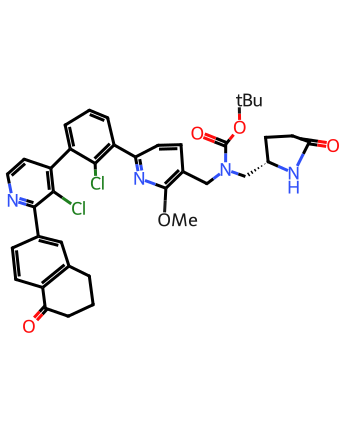 COc1nc(-c2cccc(-c3ccnc(-c4ccc5c(c4)CCCC5=O)c3Cl)c2Cl)ccc1CN(C[C@@H]1CCC(=O)N1)C(=O)OC(C)(C)C